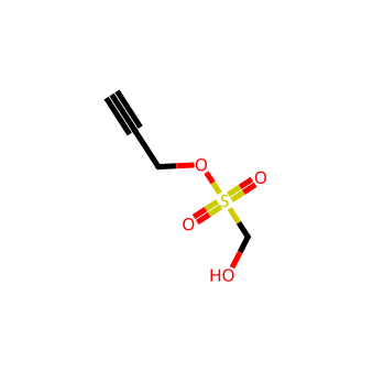 C#CCOS(=O)(=O)CO